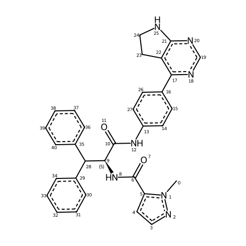 Cn1nccc1C(=O)N[C@H](C(=O)Nc1ccc(-c2ncnc3c2CCN3)cc1)C(c1ccccc1)c1ccccc1